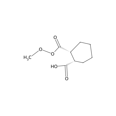 COOC(=O)[C@@H]1CCCC[C@@H]1C(=O)O